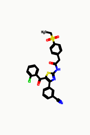 CCS(=O)(=O)c1ccc(CC(=O)Nc2nc(-c3cccc(C#N)c3)c(C(=O)c3ccccc3Cl)s2)cc1